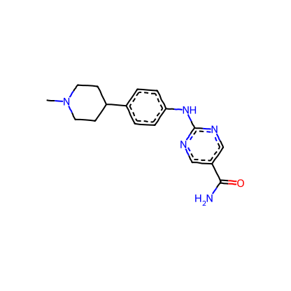 CN1CCC(c2ccc(Nc3ncc(C(N)=O)cn3)cc2)CC1